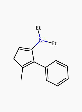 CCN(CC)C1=CCC(C)=C1c1ccccc1